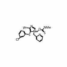 CNC(=S)OC[N+]1(Cc2ccccn2)C=NC(C(C)C)=C1Sc1cccc(Cl)c1